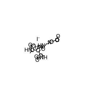 COC(=O)C1(C)C=C(C2=CC(NC(=O)NCCC[N+]3(C)CCC(c4cccc(OC)c4)CC3)C=C(C3=CC(C)(C(=O)OC)NC(C)=C3)C2)C=C(C)N1.[I-]